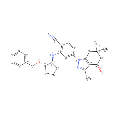 Cc1nn(-c2ccc(C#N)c(N[C@H]3CCC[C@@H]3OCc3ccccc3)c2)c2c1C(=O)CC(C)(C)C2